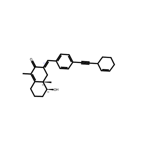 CC1=C2CCC[C@H](O)[C@@]2(C)C/C(=C\c2ccc(C#CC3C=CCCC3)cc2)C1=O